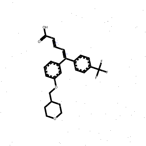 O=C(O)/C=C/C=C(/c1ccc(C(F)(F)F)cc1)c1cccc(OCC2CCOCC2)c1